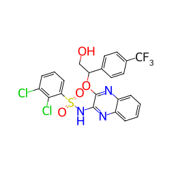 O=S(=O)(Nc1nc2ccccc2nc1OC(CO)c1ccc(C(F)(F)F)cc1)c1cccc(Cl)c1Cl